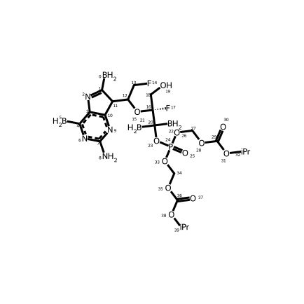 BC1=Nc2c(B)nc(N)nc2C1C(CF)O[C@@](F)(CO)C(B)(B)OP(=O)(OCOC(=O)OC(C)C)OCOC(=O)OC(C)C